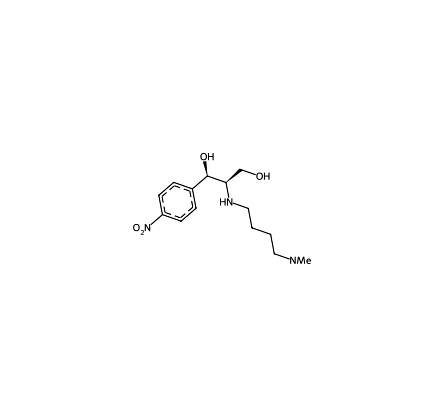 CNCCCCN[C@H](CO)[C@H](O)c1ccc([N+](=O)[O-])cc1